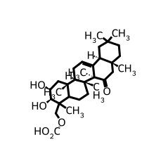 CC1(C)CC[C@]2(C)CC(=O)[C@]3(C)C(=CC[C@@H]4[C@@]5(C)C[C@H](O)[C@H](O)C(C)(COC(=O)O)C5CC[C@]43C)[C@H]2C1